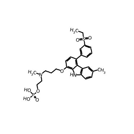 CCS(=O)(=O)c1cccc(-c2ccc(OCCCN(C)CCOP(=O)(O)O)c3[nH]c4ccc(C)cc4c23)c1